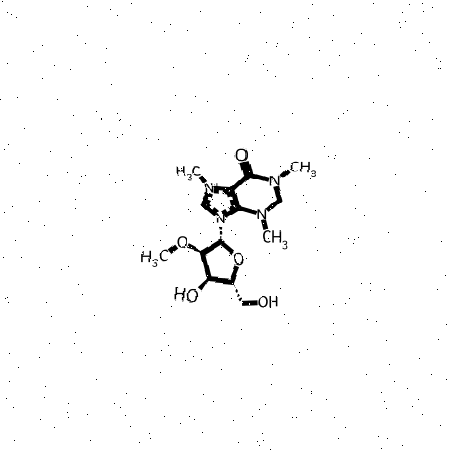 CO[C@@H]1[C@H](O)[C@@H](CO)O[C@H]1n1c[n+](C)c2c1N(C)CN(C)C2=O